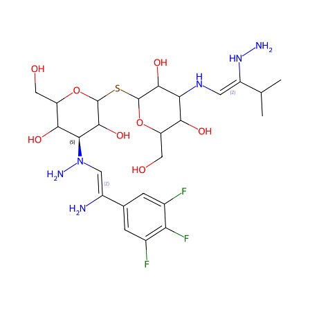 CC(C)/C(=C/NC1C(O)C(CO)OC(SC2OC(CO)C(O)[C@H](N(N)/C=C(\N)c3cc(F)c(F)c(F)c3)C2O)C1O)NN